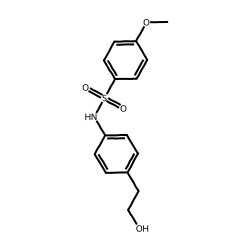 COc1ccc(S(=O)(=O)Nc2ccc(CCO)cc2)cc1